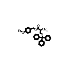 CCOc1ccc(COC(=O)C(C)CSC(c2ccccc2)(c2ccccc2)c2ccccc2)cc1